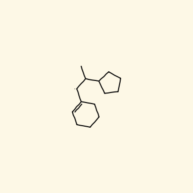 CC([CH]C1=CCCCC1)C1CCCC1